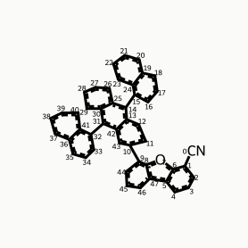 N#Cc1cccc2c1oc1c(-c3ccc4c(-c5cccc6ccccc56)c5ccccc5c(-c5cccc6ccccc56)c4c3)cccc12